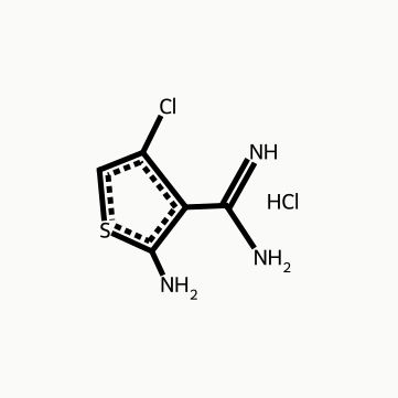 Cl.N=C(N)c1c(Cl)csc1N